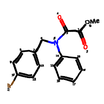 COC(=O)C(=O)N(Cc1ccc(Br)cc1)c1ccccc1